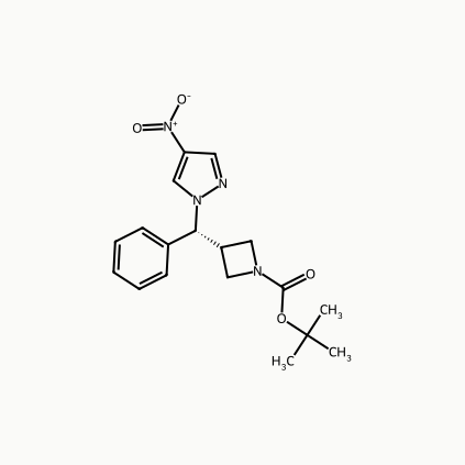 CC(C)(C)OC(=O)N1CC([C@H](c2ccccc2)n2cc([N+](=O)[O-])cn2)C1